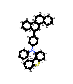 c1ccc(N(c2ccc(-c3cc4c5ccccc5ccc4c4ccccc34)cc2)c2cccc3sc4ccccc4c23)cc1